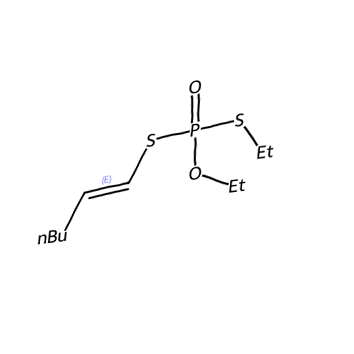 CCCC/C=C/SP(=O)(OCC)SCC